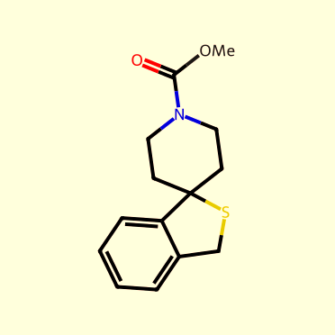 COC(=O)N1CCC2(CC1)SCc1ccccc12